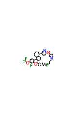 COC(=O)c1ccc2c(c1-c1ccc(OC(F)F)c(F)c1)CCCC=C2c1ccc(O[C@H]2CCN(CCCF)C2)nc1